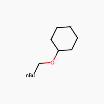 CCCCCO[C]1CC[CH]CC1